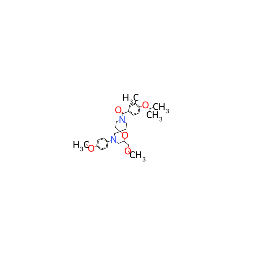 COCC1CN(c2ccc(OC)cc2)CC2(CCN(C(=O)c3ccc(OC(C)C)c(C)c3)CC2)O1